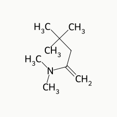 C=C(CC(C)(C)C)N(C)C